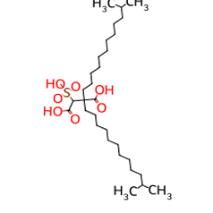 CC(C)CCCCCCCCCCC(CCCCCCCCCCC(C)C)(C(=O)O)C(C(=O)O)S(=O)(=O)O